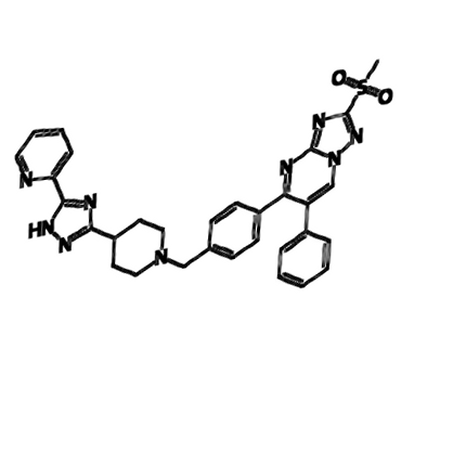 CS(=O)(=O)c1nc2nc(-c3ccc(CN4CCC(c5n[nH]c(-c6ccccn6)n5)CC4)cc3)c(-c3ccccc3)cn2n1